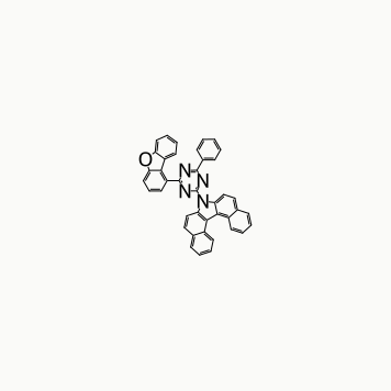 c1ccc(-c2nc(-c3cccc4oc5ccccc5c34)nc(-n3c4ccc5ccccc5c4c4c5ccccc5ccc43)n2)cc1